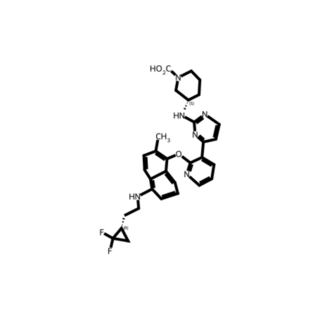 Cc1ccc2c(NCC[C@@H]3CC3(F)F)cccc2c1Oc1ncccc1-c1ccnc(N[C@H]2CCCN(C(=O)O)C2)n1